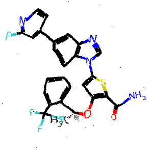 C[C@@H](Oc1cc(-n2cnc3cc(-c4ccnc(F)c4)ccc32)sc1C(N)=O)c1ccccc1C(F)(F)F